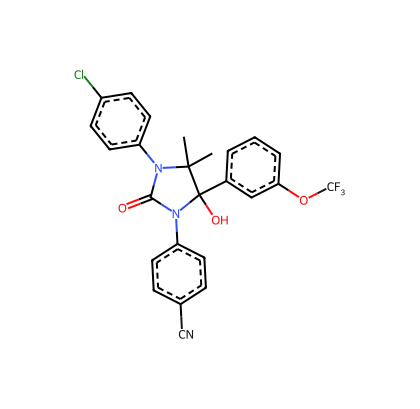 CC1(C)N(c2ccc(Cl)cc2)C(=O)N(c2ccc(C#N)cc2)C1(O)c1cccc(OC(F)(F)F)c1